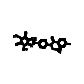 CCCn1c(=O)c2[nH]c(-c3ccc(N(CC4CC4)C(=O)c4ccc(C)nc4)nc3)nc2n(CCC)c1=O